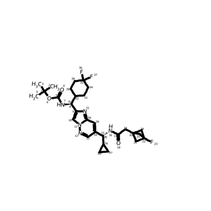 CC(C)(C)OC(=O)N[C@H](c1cn2ncc([C@H](NC(=O)CC34CC(F)(C3)C4)C3CC3)cc2n1)C1CCC(F)(F)CC1